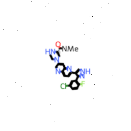 CNC(=O)[C@@H]1CN(c2cnc3ccc(-c4c[nH]nc4-c4cc(Cl)ccc4F)nc3c2)CCN1